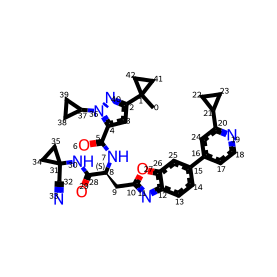 CC1(c2cc(C(=O)N[C@@H](Cc3nc4ccc(-c5ccnc(C6CC6)c5)cc4o3)C(=O)NC3(C#N)CC3)n(C3CC3)n2)CC1